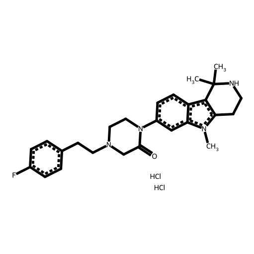 Cl.Cl.Cn1c2c(c3ccc(N4CCN(CCc5ccc(F)cc5)CC4=O)cc31)C(C)(C)NCC2